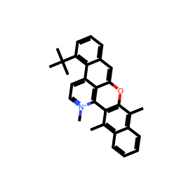 Cc1c2c(c(C)c3ccccc13)-c1c3c(cc4cccc(C(C)(C)C)c4c3cc[n+]1C)O2